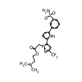 CN(C)CCOC(=O)Cn1nc(C(F)(F)F)cc1-c1ccc(-c2cccc(S(N)(=O)=O)c2)[nH]1